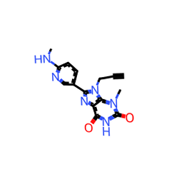 C#CCn1c(-c2ccc(NC)nc2)nc2c(=O)[nH]c(=O)n(C)c21